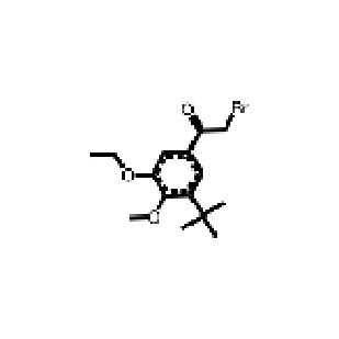 CCOc1cc(C(=O)CBr)cc(C(C)(C)C)c1OC